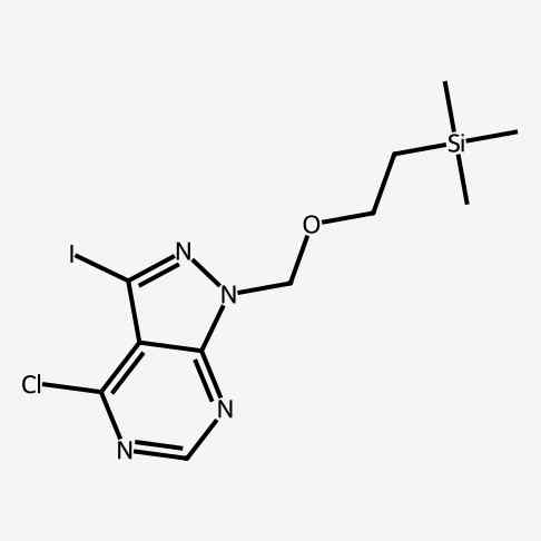 C[Si](C)(C)CCOCn1nc(I)c2c(Cl)ncnc21